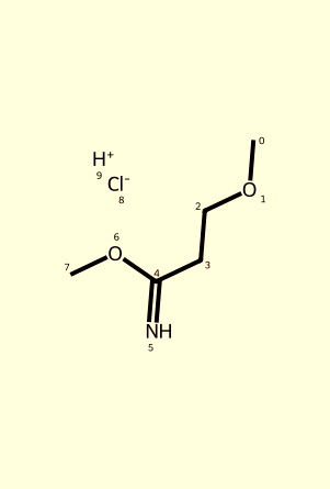 COCCC(=N)OC.[Cl-].[H+]